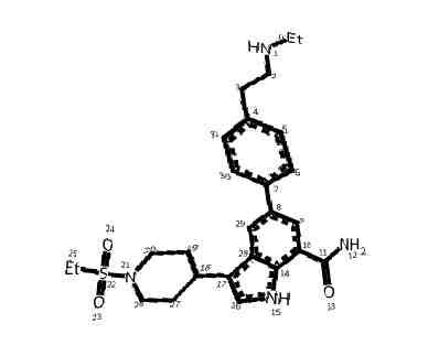 CCNCCc1ccc(-c2cc(C(N)=O)c3[nH]cc(C4CCN(S(=O)(=O)CC)CC4)c3c2)cc1